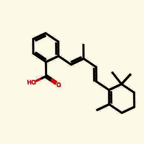 CC(C=CC1=C(C)CCCC1(C)C)=Cc1ccccc1C(=O)O